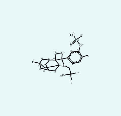 Cc1ccc(C2(OCC(F)(F)F)OOC23C2CC4CC3CC(Cl)(C4)C2)cc1OP(C)(=O)O